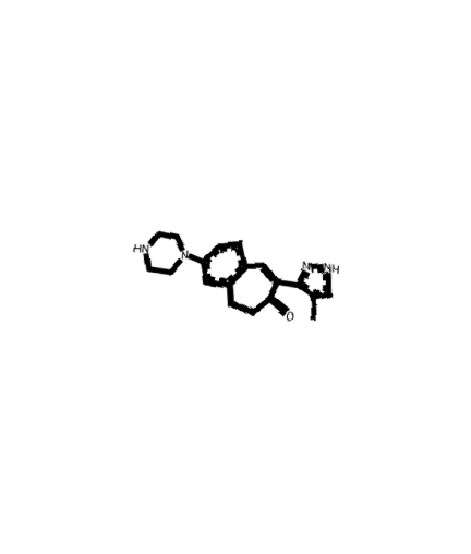 Cc1c[nH]nc1C1=Cc2ccc(N3CCNCC3)cc2CCC1=O